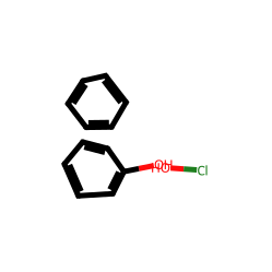 OCl.Oc1ccccc1.c1ccccc1